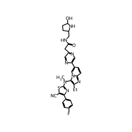 CCc1nc2ccc(-c3cnc(CC(=O)NCC4CCC(O)N4)cn3)cn2c1N(C)c1nc(-c2ccc(F)cc2)c(C#N)s1